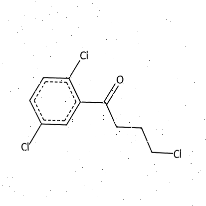 O=C(CCCCl)c1cc(Cl)ccc1Cl